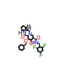 O=C(NCc1c(F)cc(F)cc1F)c1cn2c(c(OCc3ccccc3)c1=O)C(=O)N1[C@H]3C=C[C@H](C3)[C@@H]1C2